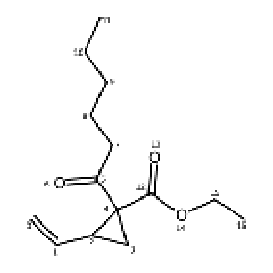 C=CC1CC1(C(=O)CCCCC)C(=O)OCC